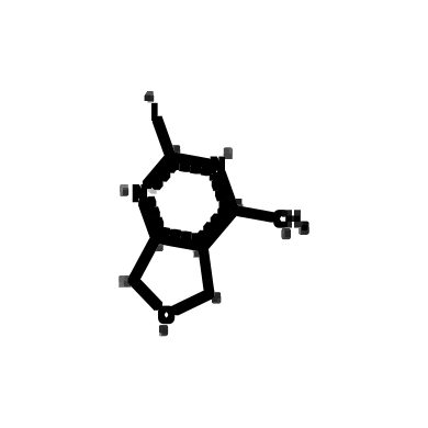 Cc1nc(I)nc2c1COC2